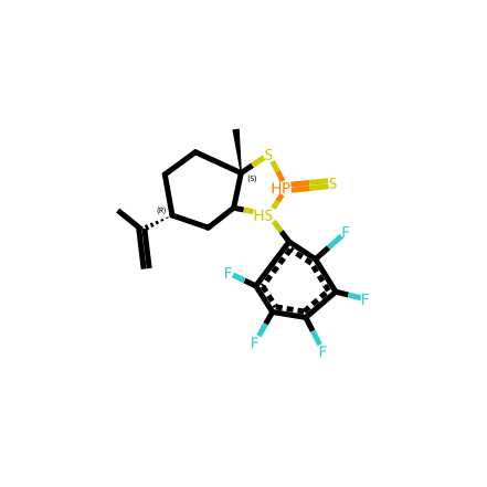 C=C(C)[C@@H]1CC[C@]2(C)S[PH](=S)[SH](c3c(F)c(F)c(F)c(F)c3F)C2C1